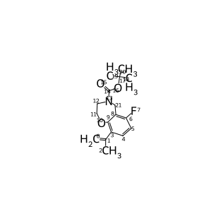 C=C(C)c1ccc(F)c2c1OCCN(C(=O)OC(C)(C)C)C2